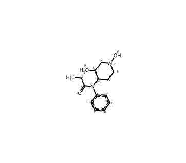 CCC(=O)N(c1ccccc1)C1CCN(O)CC1C